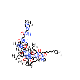 CCCCCCCCC(NC(=O)[C@@H]1CCCN1C(=O)CCCCC)C(=O)NC(CC(C)C)C(=O)NC(C)(C)C(=O)NC(CC(C)C)C(=O)NC(CC(C)C)C(=O)NC(C)(C)C(=O)NC(C)(C)C(=O)NCCC(=O)NCCN1CCN(C)CC1